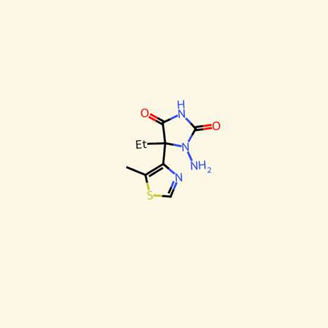 CCC1(c2ncsc2C)C(=O)NC(=O)N1N